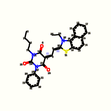 CCCCN1C(=O)/C(=C\C=C2/Sc3ccc4ccccc4c3N2CC)C(=O)N(c2ccccc2)C1=O